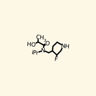 CC(O)C(=O)N(CC1CCNCC1F)C(C)C